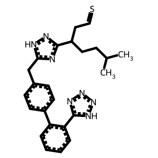 CC(C)CCC(CC=S)c1n[nH]c(Cc2ccc(-c3ccccc3-c3nnn[nH]3)cc2)n1